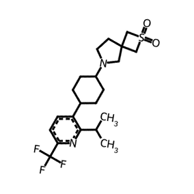 CC(C)c1nc(C(F)(F)F)ccc1C1CCC(N2CCC3(C2)CS(=O)(=O)C3)CC1